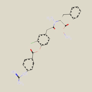 N=C(N)Nc1ccc(C(=O)Oc2ccc(CC(=O)N(N)[C@@H](Cc3ccccc3)C(=O)ON)cc2Cl)cc1